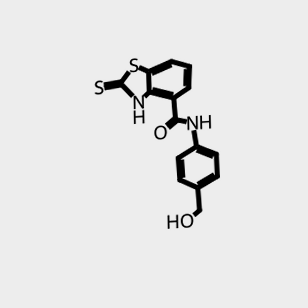 O=C(Nc1ccc(CO)cc1)c1cccc2sc(=S)[nH]c12